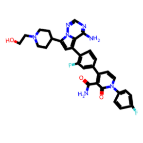 NC(=O)c1c(-c2ccc(-c3cc(C4CCN(CCO)CC4)n4ncnc(N)c34)c(F)c2)ccn(-c2ccc(F)cc2)c1=O